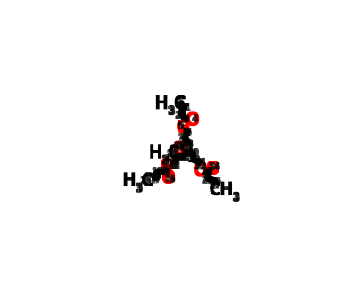 CC=CC(=O)OCCC[Si](CCCOC(=O)C=CC)(CCCOC(=O)C=CC)OC